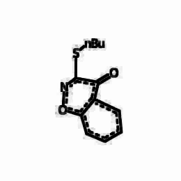 CCCCSc1noc2ccccc2c1=O